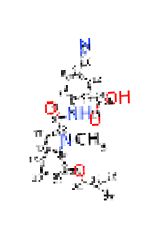 Cn1c(C(=O)Nc2ccc(C#N)cc2C(=O)O)cc2cccc(OCC3CC3)c21